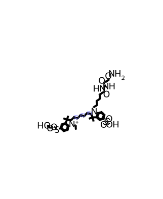 CC[N+]1=C(/C=C/C=C/C=C2/N(CCCCCC(=O)NNC(=O)CON)c3ccc(S(=O)(=O)O)cc3C2(C)C)C(C)(C)c2cc(SOOO)ccc21